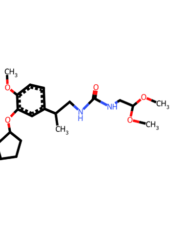 COc1ccc(C(C)CNC(=O)NCC(OC)OC)cc1OC1CCCC1